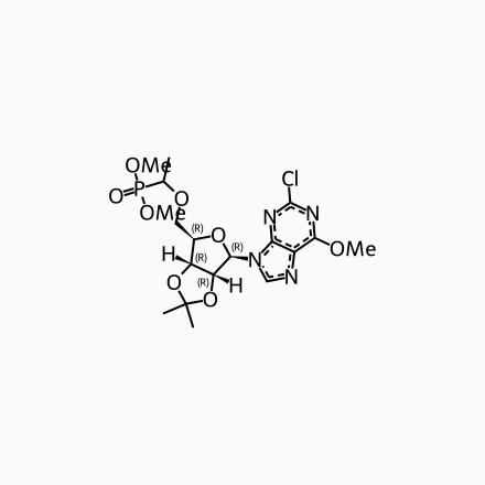 COc1nc(Cl)nc2c1ncn2[C@@H]1O[C@H](COC(C)P(=O)(OC)OC)[C@H]2OC(C)(C)O[C@H]21